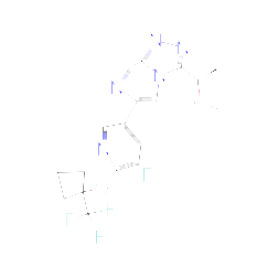 CO[C@H](C)c1nnc2cnc(-c3cnc(OC4(C(F)(F)F)CCC4)c(F)c3)cn12